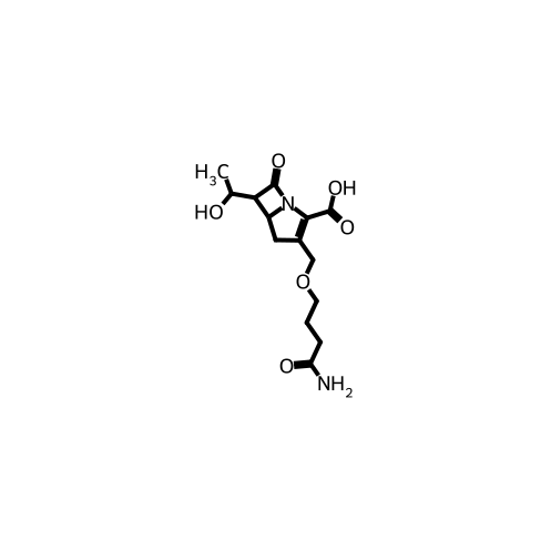 CC(O)C1C(=O)N2C(C(=O)O)=C(COCCCC(N)=O)CC12